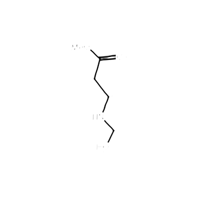 COC(=O)CCNCO